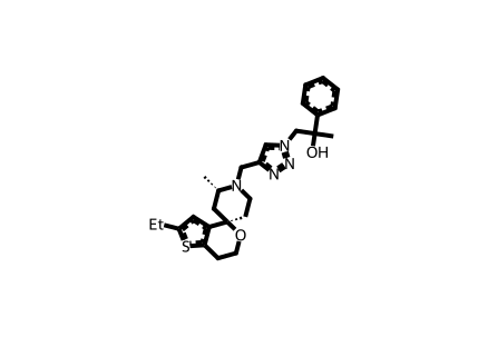 CCc1cc2c(s1)CCO[C@@]21CCN(Cc2cn(CC(C)(O)c3ccccc3)nn2)[C@@H](C)C1